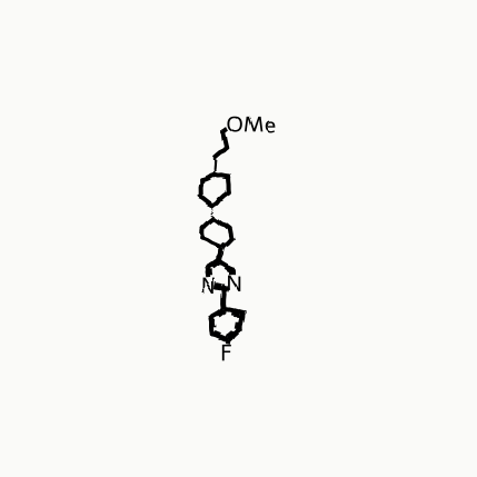 COCCC[C@H]1CC[C@H](C2CCC(c3cnc(-c4ccc(F)cc4)nc3)CC2)CC1